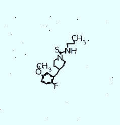 CCCNC(=S)N1CCC(Cc2cc(OC)ccc2F)CC1